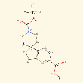 COC(=O)c1ccc2c(n1)OCC21CCN(C(=O)OC(C)(C)C)CC1